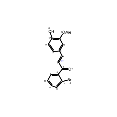 COc1cc(/C=C/C(=O)c2ccccc2Br)ccc1O